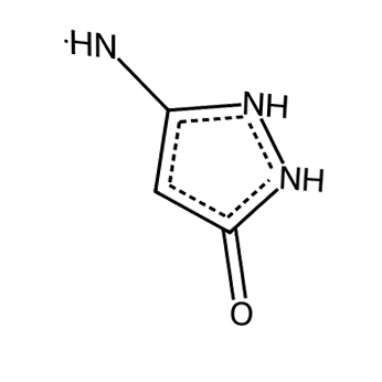 [NH]c1cc(=O)[nH][nH]1